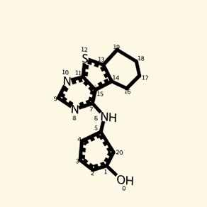 Oc1cccc(Nc2ncnc3sc4c(c23)CCCC4)c1